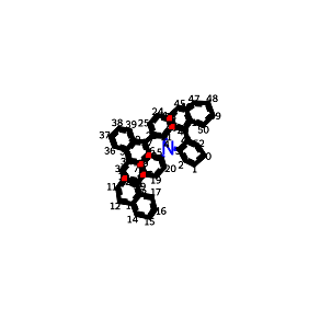 c1ccc(N(c2ccc(-c3cccc4ccccc34)cc2)c2ccccc2-c2cc3ccccc3c3ccccc23)c(-c2cccc3ccccc23)c1